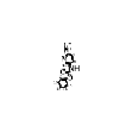 [C-]#[N+]c1ccc(NC(=O)Oc2ccccc2)cn1